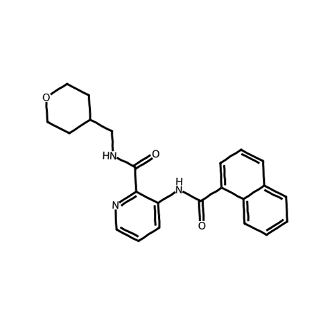 O=C(NCC1CCOCC1)c1ncccc1NC(=O)c1cccc2ccccc12